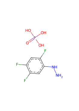 NNc1cc(F)c(F)cc1F.O=P(O)(O)O